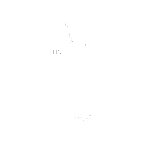 CCOC(=O)c1ccc(N[SH](=O)=O)cc1